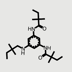 CCC(C)(C)CNc1cc(NC(=O)C(C)(C)CC)cc(NC(=O)C(C)(C)CC)c1